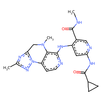 CNC(=O)c1cnc(NC(=O)C2CC2)cc1Nc1nccc2c1N(C)Cc1nc(C)nn1-2